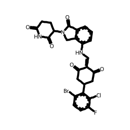 O=C1CCC(N2Cc3c(NC=C4C(=O)CC(c5c(Br)ccc(F)c5Cl)CC4=O)cccc3C2=O)C(=O)N1